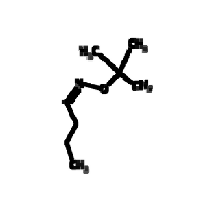 CCC/[C]=N\OC(C)(C)C